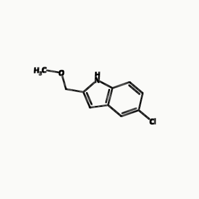 COCc1cc2cc(Cl)ccc2[nH]1